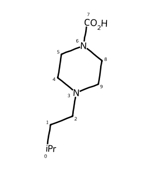 CC(C)CCN1CCN(C(=O)O)CC1